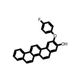 Oc1cc2ccc3c(ccc4c5ccccc5ccc43)c2cc1Oc1ccc(F)cc1